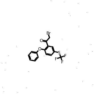 O=C(CBr)c1cc(SC(F)(F)F)ccc1Oc1ccccc1